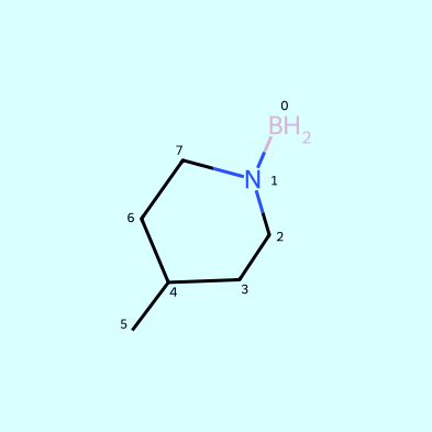 BN1CCC(C)CC1